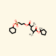 CC(CC(C)C(=O)OC1(C)CCCC1)C(=O)OCCCS(=O)(=O)OC1CCCCC1